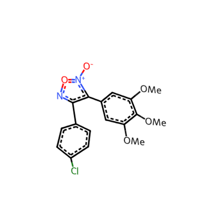 COc1cc(-c2c(-c3ccc(Cl)cc3)no[n+]2[O-])cc(OC)c1OC